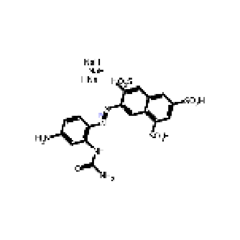 NC(=O)Nc1cc(N)ccc1/N=N/c1cc2c(S(=O)(=O)O)cc(S(=O)(=O)O)cc2cc1S(=O)(=O)O.[NaH].[NaH].[NaH]